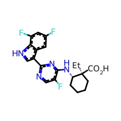 CC[C@]1(C(=O)O)CCCC[C@@H]1Nc1nc(-c2c[nH]c3c(F)cc(F)cc23)ncc1F